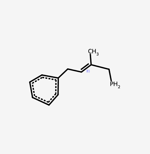 C/C(=C\Cc1ccccc1)CP